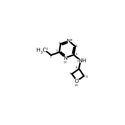 CCc1cncc(NC2COC2)n1